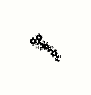 COC(=O)c1ccc(C(=O)C[N+]23CCC(CC2)[C@@H](OC(=O)C(Nc2ccccc2)c2ccccc2)C3)cc1